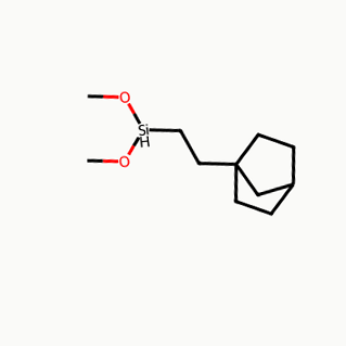 CO[SiH](CCC12CCC(CC1)C2)OC